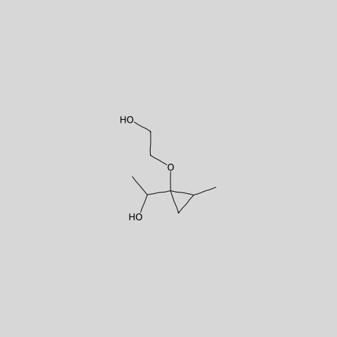 CC(O)C1(OCCO)CC1C